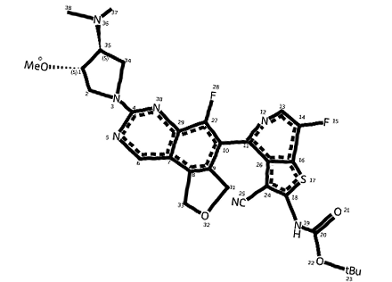 CO[C@H]1CN(c2ncc3c4c(c(-c5ncc(F)c6sc(NC(=O)OC(C)(C)C)c(C#N)c56)c(F)c3n2)COC4)C[C@@H]1N(C)C